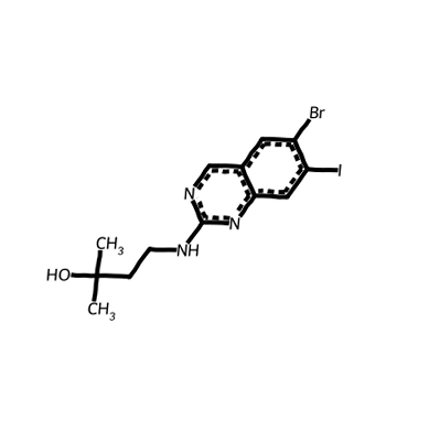 CC(C)(O)CCNc1ncc2cc(Br)c(I)cc2n1